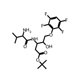 CC(C)C(N)C(=O)NC(CC(=O)OC(C)(C)C)C(O)COc1c(F)c(F)cc(F)c1F